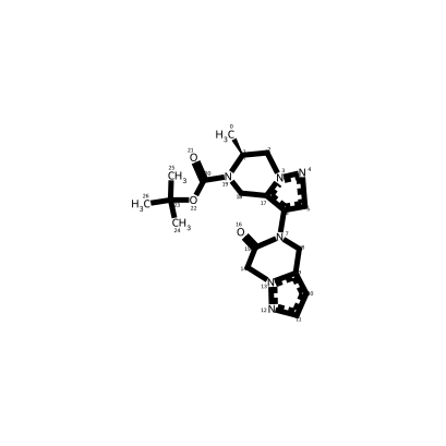 C[C@H]1Cn2ncc(N3Cc4ccnn4CC3=O)c2CN1C(=O)OC(C)(C)C